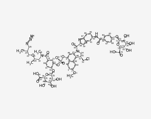 COc1ccc2c(OS(=O)(=O)Oc3cc(C(=O)N(C)CC(C)OCC(C)CN=[N+]=[N-])ccc3O[C@@H]3O[C@H](C(=O)O)[C@@H](O)[C@H](O)[C@H]3O)cc3c(c2c1)[C@H](CCl)CN3C(=O)c1cn2cc(NC(=O)c3ccc(O[C@@H]4O[C@H](C(=O)O)[C@@H](O)[C@H](O)[C@H]4O)cc3)ccc2n1